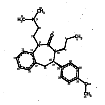 CCC[C@@H]1C(=O)N(CCN(C)C)c2ccccc2C[C@@H]1c1ccc(OC)cc1